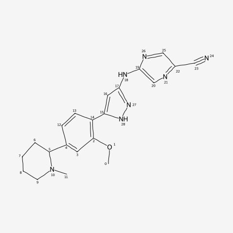 COc1cc(C2CCCCN2C)ccc1-c1cc(Nc2cnc(C#N)cn2)n[nH]1